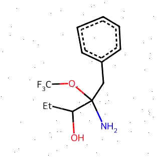 CCC(O)C(N)(Cc1ccccc1)OC(F)(F)F